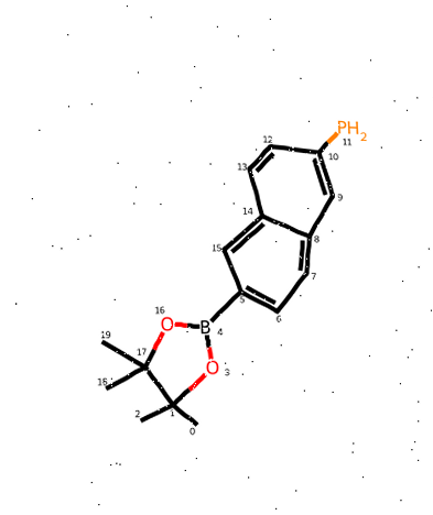 CC1(C)OB(c2ccc3cc(P)ccc3c2)OC1(C)C